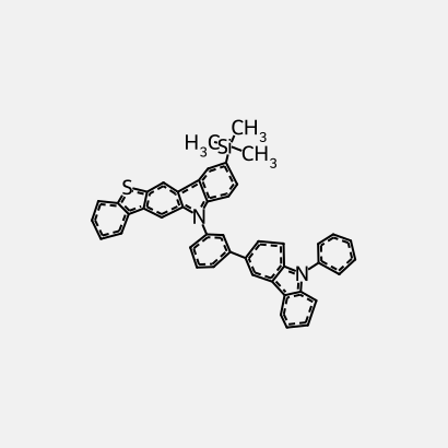 C[Si](C)(C)c1ccc2c(c1)c1cc3sc4ccccc4c3cc1n2-c1cccc(-c2ccc3c(c2)c2ccccc2n3-c2ccccc2)c1